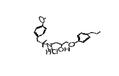 CCCc1ccc(OCC(O)CNC(C)(C)Cc2ccc(OC)cc2)cc1.Cl